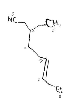 CCC=CCC(C)C#N